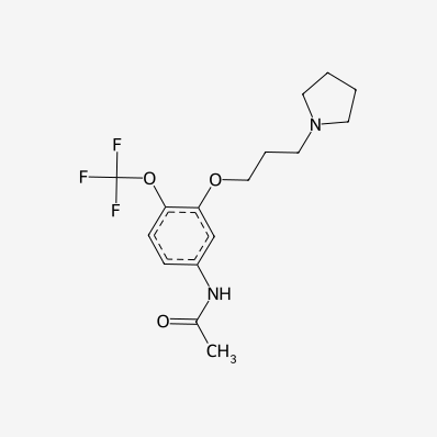 CC(=O)Nc1ccc(OC(F)(F)F)c(OCCCN2CCCC2)c1